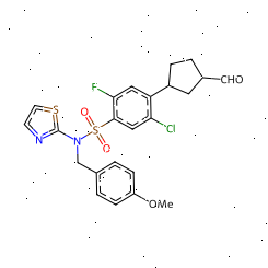 COc1ccc(CN(c2nccs2)S(=O)(=O)c2cc(Cl)c(C3CCC(C=O)C3)cc2F)cc1